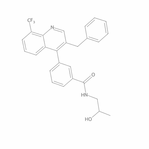 CC(O)CNC(=O)c1cccc(-c2c(Cc3ccccc3)cnc3c(C(F)(F)F)cccc23)c1